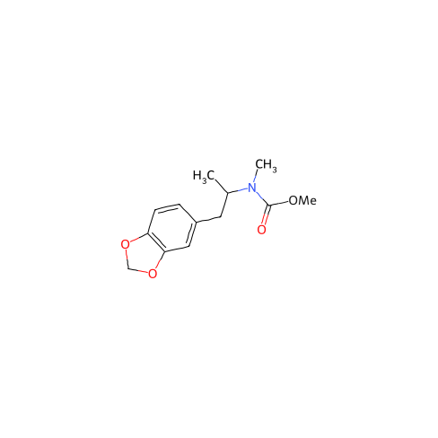 COC(=O)N(C)C(C)Cc1ccc2c(c1)OCO2